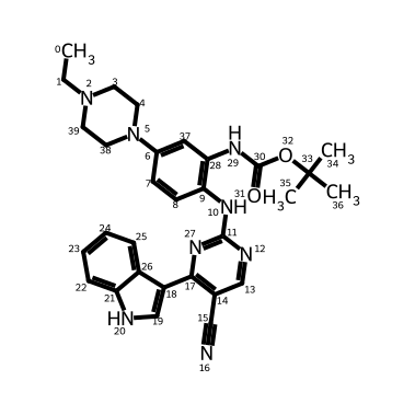 CCN1CCN(c2ccc(Nc3ncc(C#N)c(-c4c[nH]c5ccccc45)n3)c(NC(=O)OC(C)(C)C)c2)CC1